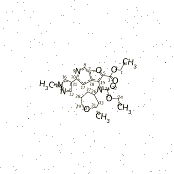 CCOC(=O)c1oc2cnc(-c3cnn(C)c3)cc2c1N(C(=O)OCC)C1CCCO[C@@H](C)C1